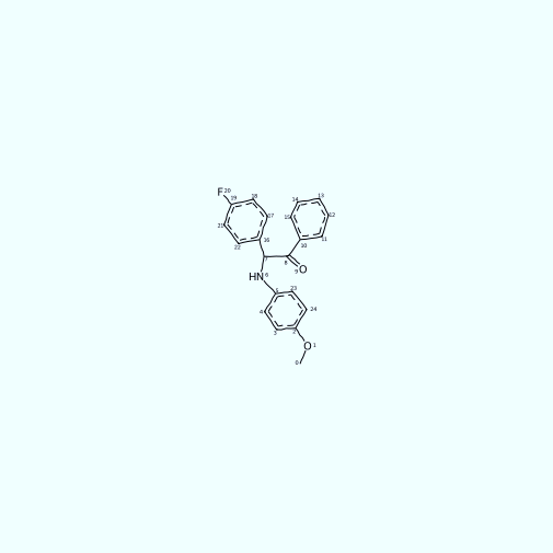 COc1ccc(NC(C(=O)c2ccccc2)c2ccc(F)cc2)cc1